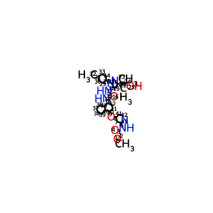 COCC(=O)Nc1cc(Oc2ccc(NC(=O)Nc3cc(C(C)(C)CO)nn3-c3ccc(C)cc3)c3ccccc23)ccn1